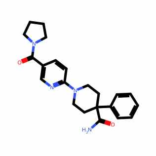 NC(=O)C1(c2ccccc2)CCN(c2ccc(C(=O)N3CCCC3)cn2)CC1